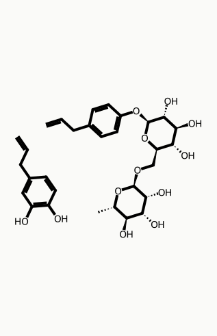 C=CCc1ccc(O)c(O)c1.C=CCc1ccc(O[C@@H]2O[C@H](CO[C@@H]3O[C@@H](C)[C@H](O)[C@@H](O)[C@H]3O)[C@@H](O)[C@H](O)[C@H]2O)cc1